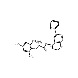 Cc1cc(C)c(C[C@H](N)C(=O)N[C@@H]2CCNc3ccc(-c4ccccc4)cc32)c(C)c1